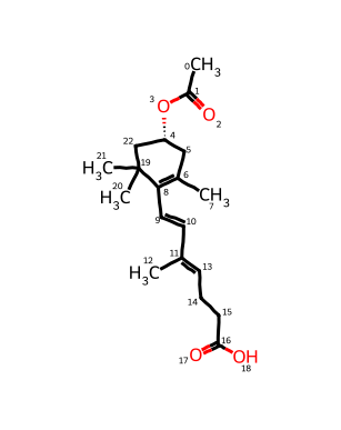 CC(=O)O[C@@H]1CC(C)=C(/C=C/C(C)=C/CCC(=O)O)C(C)(C)C1